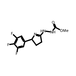 COC(=O)NNC1=NC(c2cc(F)c(F)c(F)c2)CC1